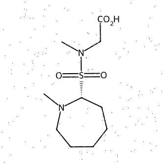 CN1CCCCC[C@H]1S(=O)(=O)N(C)CC(=O)O